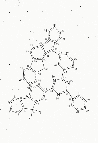 CC1(C)c2ccccc2-c2ccc(-c3nc(-c4ccccc4)nc(-c4cccc(-n5c6ccccc6c6ccc7c(c65)Cc5ccccc5-7)c4)n3)cc21